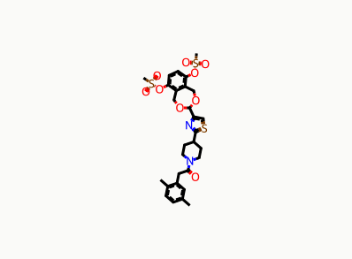 Cc1ccc(C)c(CC(=O)N2CCC(c3nc(C4OCc5c(OS(C)(=O)=O)ccc(OS(C)(=O)=O)c5CO4)cs3)CC2)c1